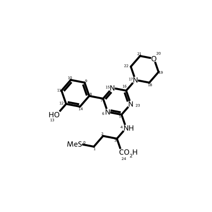 CSCCC(Nc1nc(-c2cccc(O)c2)nc(N2CCOCC2)n1)C(=O)O